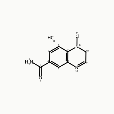 Cl.NC(=O)c1ccc2c(c1)N=CCN2Cl